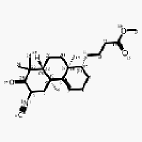 [C-]#[N+]C1C[C@]2(C)C3=CCC[C@@H](CCCC(=O)OC)[C@]3(C)CC[C@H]2C(C)(C)C1=O